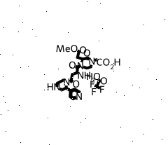 COC(=O)CC1C(=O)N(CC(=O)O)CCN1C(=O)C(N)CC(=O)N1CCNCC1c1ccncc1.O=C(O)C(F)(F)F